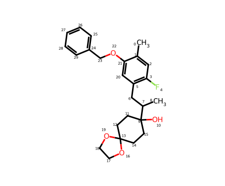 Cc1cc(F)c(CC(C)C2(O)CCC3(CC2)OCCO3)cc1OCc1ccccc1